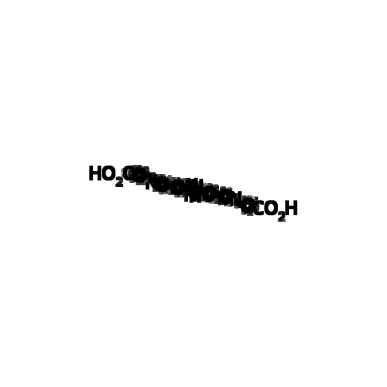 O=C(O)C1=CCC(/C=N/c2ccc(-c3ccc(-c4nnc(-c5ccc(-c6ccc(/N=C/c7ccc(C(=O)O)cc7)cc6)cc5)nn4)cc3)cc2)C=C1